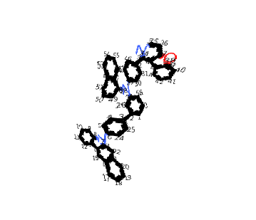 c1cc(-c2ccc(-n3c4ccccc4c4cc5ccccc5cc43)cc2)cc(N(c2ccc(-c3nccc4oc5ccccc5c34)cc2)c2cccc3ccccc23)c1